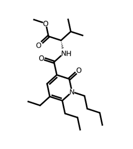 CCCCn1c(CCC)c(CC)cc(C(=O)N[C@H](C(=O)OC)C(C)C)c1=O